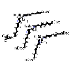 CCCCCCCCCCCCCCCC/C=C/[N+](C)(C)/C=C/CCCCCCCCCCCCCCCC.CCCCCCCCCCCCCCCC/C=C/[N+](C)(C)/C=C/CCCCCCCCCCCCCCCC.CCCCCCCCCCCCCCCC/C=C/[N+](C)(C)/C=C/CCCCCCCCCCCCCCCC.O=P([O-])([O-])[O-]